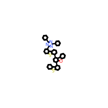 c1ccc(-c2nc(-c3ccccc3)nc(-c3cccc4sc5c(-c6ccc(-c7cccc8sc9ccccc9c78)c7oc8ccccc8c67)cccc5c34)n2)cc1